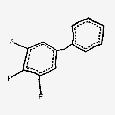 Fc1cc(-c2cc[c]cc2)cc(F)c1F